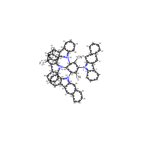 N#Cc1c(-n2c3ccccc3c3cc4ccccc4cc32)c(C#N)c(-n2c3ccccc3c3cc4ccccc4cc32)c(-n2c3ccccc3c3ccc(C(F)(F)F)cc32)c1-n1c2ccccc2c2ccc(C(F)(F)F)cc21